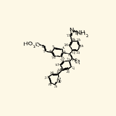 CC/C(=C(/c1ccc(/C=C/C(=O)O)cc1)c1cccc(/C=N\N)c1)c1ccc(-c2ccccn2)cc1